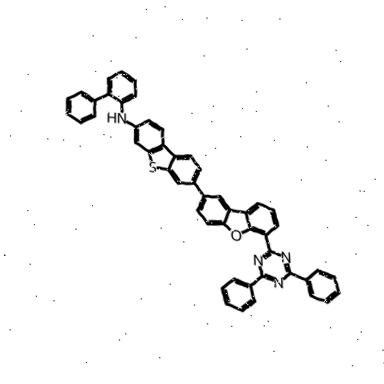 c1ccc(-c2nc(-c3ccccc3)nc(-c3cccc4c3oc3ccc(-c5ccc6c(c5)sc5cc(Nc7ccccc7-c7ccccc7)ccc56)cc34)n2)cc1